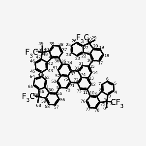 CC1(C(F)(F)F)c2ccccc2-c2c(-c3cc4cc(-c5cccc6c5-c5ccccc5C6(C)C(F)(F)F)cc5c6cc(-c7cccc8c7-c7ccccc7C8(C)C(F)(F)F)cc7cc(-c8cccc9c8-c8ccccc8C9(C)C(F)(F)F)cc(c(c3)c45)c76)cccc21